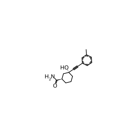 Cc1cccc(C#C[C@@]2(O)CCC[C@@H](C(N)=O)C2)c1